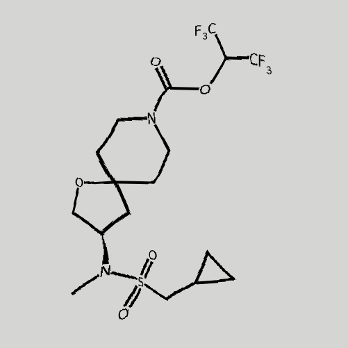 CN([C@H]1COC2(CCN(C(=O)OC(C(F)(F)F)C(F)(F)F)CC2)C1)S(=O)(=O)CC1CC1